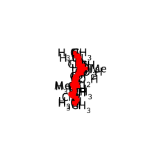 COC[C@H](NC(=O)[C@H](C)NCc1ccc(Cl)cc1Oc1ccc(-c2cnc(CN(C)C)n2C)nc1)C(=O)N(C)[C@@]1(Cc2ccc(Cl)cc2)CCCN(C(=O)[C@@H](CC(=O)O)Cc2ccc(C[C@H](CC(=O)O)C(=O)N3CCC[C@](Cc4ccc(Cl)cc4)(N(C)C(=O)[C@H](COC)NC(=O)[C@H](C)NCc4ccc(Cl)cc4Oc4ccc(-c5cnc(CN(C)C)n5C)nc4)C3)[n+]([O-])c2)C1